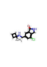 CC1(NCc2cc(Cl)c3c(c2)C(=O)NC3)CCC1